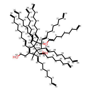 C=CCCCCCC=CO[C@]1(C=CCCCCCC=C)C(C=CCCCCCC=C)(C=CCCCCCC=C)[C@@]2(C=CCCCCCC=C)C(C=CCCCCCC=C)=C(CCO)C(C)(C=CCCCCCC=C)[C@@]2(C=CCCCCCC=C)[C@]1(O)C=CCCCCCC=C